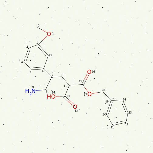 COc1cccc(C(CN)CC(C(=O)O)C(=O)OCc2ccccc2)c1